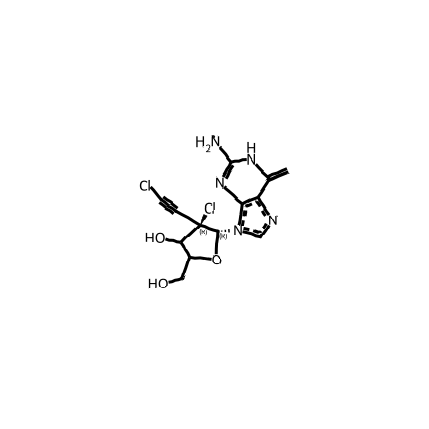 C=C1NC(N)=Nc2c1ncn2[C@@H]1OC(CO)C(O)[C@]1(Cl)C#CCl